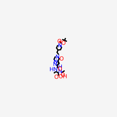 CC(=O)NC(C(=O)O)C(C)NC(=O)c1cc2n(n1)CCN(CCC1CCN(C(=O)OC(C)(C)C)CC1)C2=O